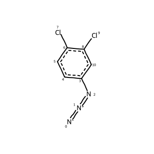 [N-]=[N+]=Nc1ccc(Cl)c(Cl)c1